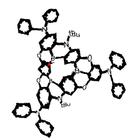 CC(C)(C)N1c2cc3c(cc2B2c4ccccc4Oc4cc(N(c5ccccc5)c5ccccc5)cc1c42)B1c2cc4c(cc2Oc2cc(N(c5ccccc5)c5ccccc5)cc(c21)O3)N(C(C)(C)C)c1cc(N(c2ccccc2)c2ccccc2)cc2c1B4c1ccccc1O2